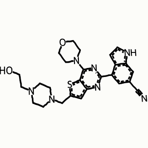 N#Cc1cc(-c2nc(N3CCOCC3)c3sc(CN4CCN(CCO)CC4)cc3n2)c2cc[nH]c2c1